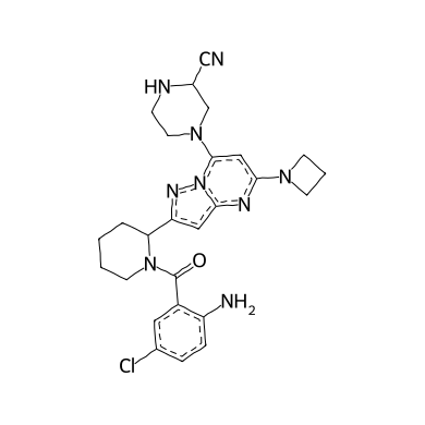 N#CC1CN(c2cc(N3CCC3)nc3cc(C4CCCCN4C(=O)c4cc(Cl)ccc4N)nn23)CCN1